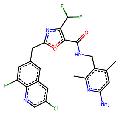 Cc1cc(N)nc(C)c1CNC(=O)c1oc(Cc2cc(F)c3ncc(Cl)cc3c2)nc1C(F)F